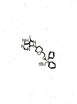 CC(C)(C)[Si](OCC1CCC(n2nc(I)c3c(N)ncnc32)CO1)(c1ccccc1)c1ccccc1